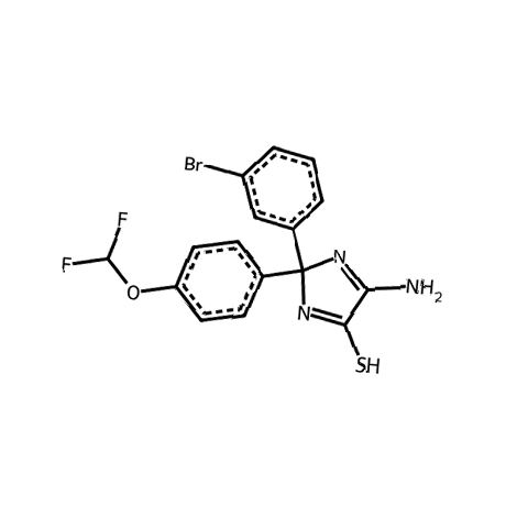 NC1=NC(c2ccc(OC(F)F)cc2)(c2cccc(Br)c2)N=C1S